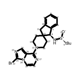 CC(C)(C)[S@@+]([O-])N[C@@H]1c2ccccc2CC12CCN(c1nccn3c(Br)ncc13)CC2